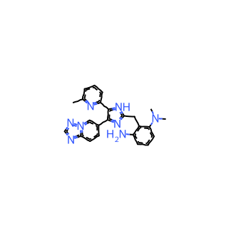 Cc1cccc(-c2[nH]c(Cc3c(N)cccc3N(C)C)nc2-c2ccc3ncnn3c2)n1